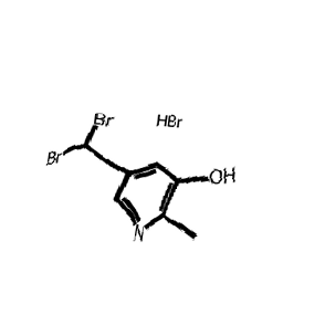 Br.Cc1ncc(C(Br)Br)cc1O